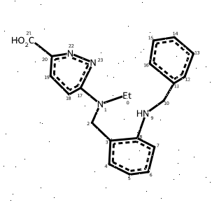 CCN(Cc1ccccc1NCc1ccccc1)c1ccc(C(=O)O)nn1